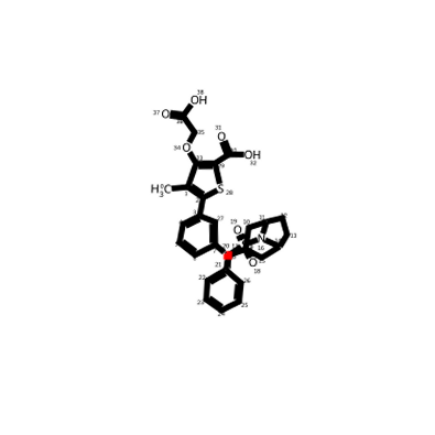 Cc1c(-c2cccc(NC3CC4CCC(C3)N4S(=O)(=O)Cc3ccccc3)c2)sc(C(=O)O)c1OCC(=O)O